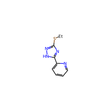 CCSc1n[nH]c(-c2ccccn2)n1